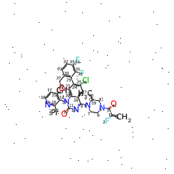 C=C(F)C(=O)N1CCN(c2nc(=O)n(-c3c(C)ccnc3C(C)C)c3c4c(c(Cl)cc23)-c2c(ccc(F)c2F)CO4)[C@@H](C)C1